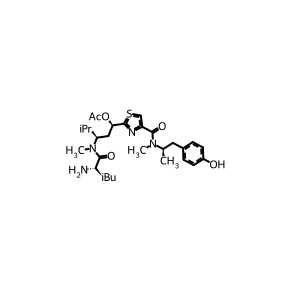 CC[C@H](C)[C@H](N)C(=O)N(C)[C@H](C[C@@H](OC(C)=O)c1nc(C(=O)N(C)[C@H](C)Cc2ccc(O)cc2)cs1)C(C)C